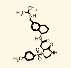 Cc1ccc(S(=O)(=O)N2CCNC(=O)[C@@H]2CC(=O)N[C@@H]2CCCc3cc(CNC(C)C)ccc32)cc1